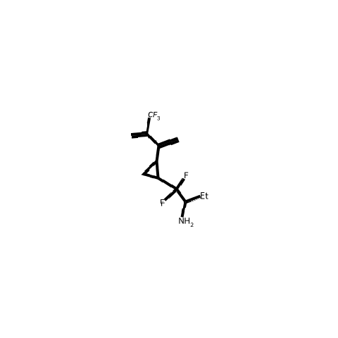 C=C(C(=C)C(F)(F)F)C1CC1C(F)(F)C(N)CC